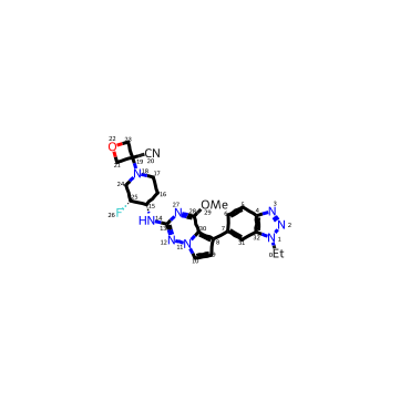 CCn1nnc2ccc(-c3ccn4nc(N[C@H]5CCN(C6(C#N)COC6)C[C@H]5F)nc(OC)c34)cc21